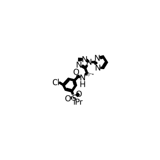 CC(C)S(=O)(=O)c1cc(Cl)cc(C(=O)N[C@@H](C)c2ncnn2-c2ncccn2)c1